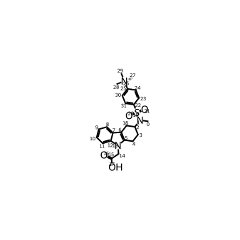 CN(C1CCc2c(c3ccccc3n2CC(=O)O)C1)S(=O)(=O)c1ccc([N+](C)(C)C)cc1